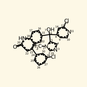 Cn1cncc1C(O)(c1ccnc(Cl)c1)c1ccc2[nH]c(=O)cc(-c3cccc(Cl)c3)c2c1